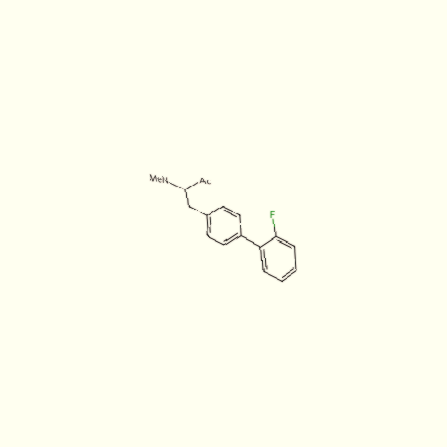 CNC(Cc1ccc(-c2ccccc2F)cc1)C(C)=O